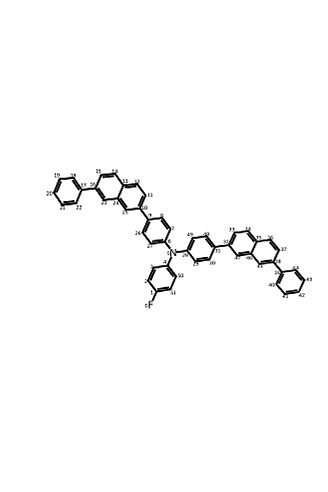 Fc1ccc(N(c2ccc(-c3ccc4ccc(-c5ccccc5)cc4c3)cc2)c2ccc(-c3ccc4ccc(-c5ccccc5)cc4c3)cc2)cc1